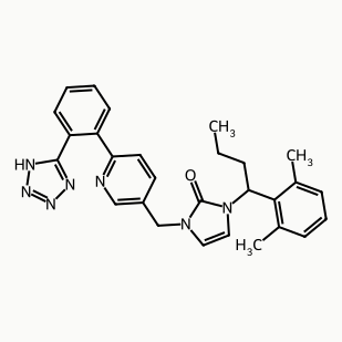 CCCC(c1c(C)cccc1C)n1ccn(Cc2ccc(-c3ccccc3-c3nnn[nH]3)nc2)c1=O